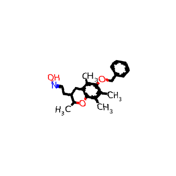 Cc1c(C)c2c(c(C)c1OCc1ccccc1)CC(CC=NO)C(C)O2